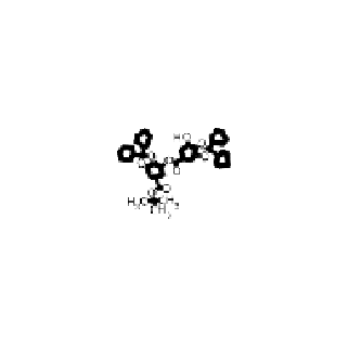 CC(C)(C)OC(=O)c1cc(OC(=O)c2cc(O)c3c(c2)OC(c2ccccc2)(c2ccccc2)O3)c2c(c1)OC(c1ccccc1)(c1ccccc1)O2